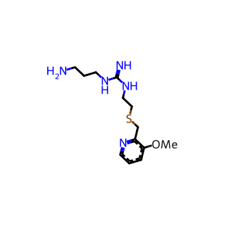 COc1cccnc1CSCCNC(=N)NCCCN